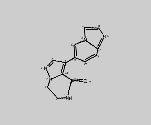 O=C1NCCn2ncc(-c3ccc4nccn4c3)c21